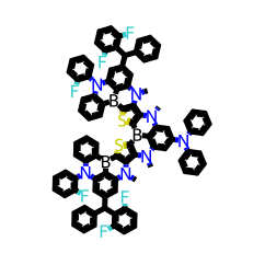 CN1c2cc(N(c3ccccc3)c3ccccc3)cc3c2B(c2sc4c(c21)N(C)c1cc(C(c2ccccc2)c2c(F)cccc2F)cc2c1B4c1ccccc1N2c1ccccc1F)c1sc2c(c1N3C)N(C)c1cc(C(c3ccccc3)c3c(F)cccc3F)cc3c1B2c1ccccc1N3c1ccccc1F